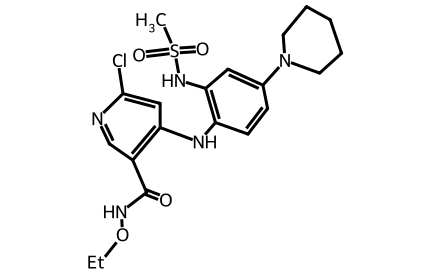 CCONC(=O)c1cnc(Cl)cc1Nc1ccc(N2CCCCC2)cc1NS(C)(=O)=O